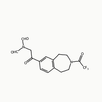 O=CN(C=O)CC(=O)c1ccc2c(c1)CCN(C(=O)C(F)(F)F)CC2